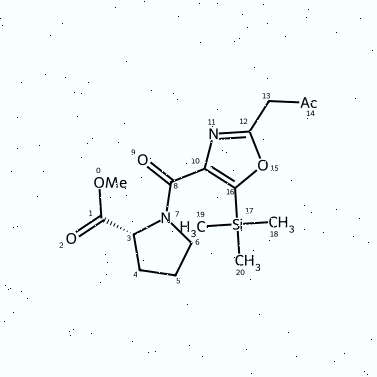 COC(=O)[C@H]1CCCN1C(=O)c1nc(CC(C)=O)oc1[Si](C)(C)C